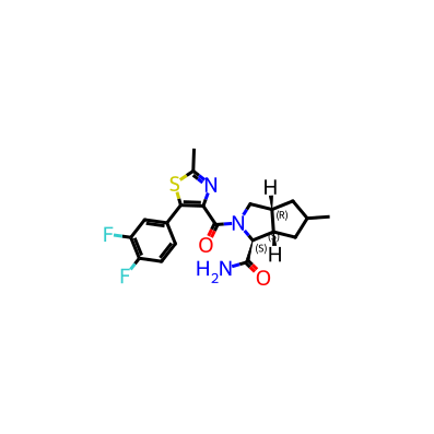 Cc1nc(C(=O)N2C[C@@H]3CC(C)C[C@@H]3[C@H]2C(N)=O)c(-c2ccc(F)c(F)c2)s1